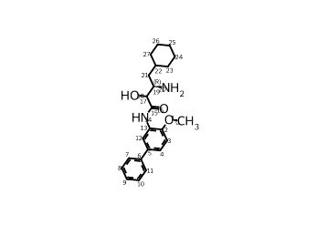 COc1ccc(-c2ccccc2)cc1NC(=O)C(O)[C@H](N)CC1CCCCC1